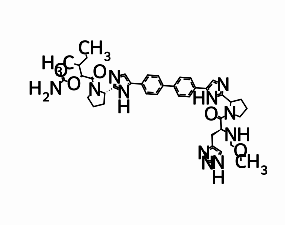 CCC(C)[C@H](OC(N)=O)C(=O)N1CCC[C@H]1c1ncc(-c2ccc(-c3ccc(-c4cnc(C5CCCN5C(=O)[C@H](Cc5c[nH]nn5)NCOC)[nH]4)cc3)cc2)[nH]1